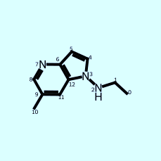 CCNn1ccc2ncc(C)cc21